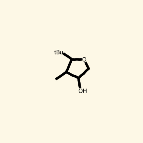 CC1C(O)COC1C(C)(C)C